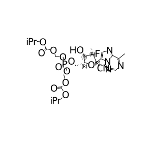 Cc1ncnn2c([C@]3(C#N)O[C@H](COP(=O)(OCOC(=O)OC(C)C)OCOC(=O)OC(C)C)[C@@H](O)[C@@]3(C)F)cnc12